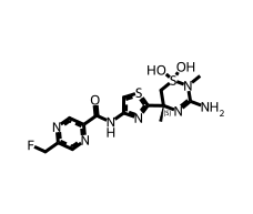 CN1C(N)=N[C@](C)(c2nc(NC(=O)c3cnc(CF)cn3)cs2)CS1(O)O